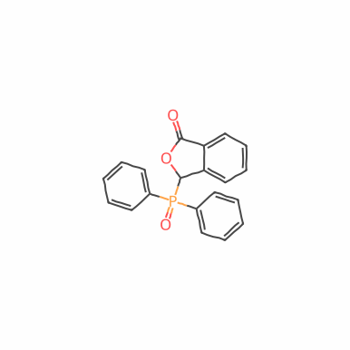 O=C1OC(P(=O)(c2ccccc2)c2ccccc2)c2ccccc21